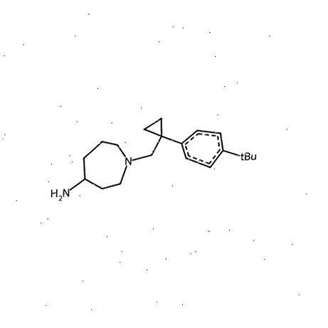 CC(C)(C)c1ccc(C2(CN3CCCC(N)CC3)CC2)cc1